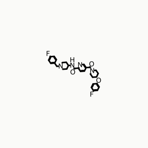 O=C(NC1CCN(Cc2ccc(F)cc2)CC1)c1ccc(C(=O)N2CCC(Oc3ccc(F)cc3)CC2)cn1